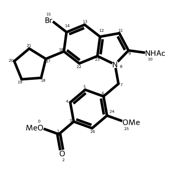 COC(=O)c1ccc(Cn2c(NC(C)=O)cc3cc(Br)c(C4CCCC4)cc32)c(OC)c1